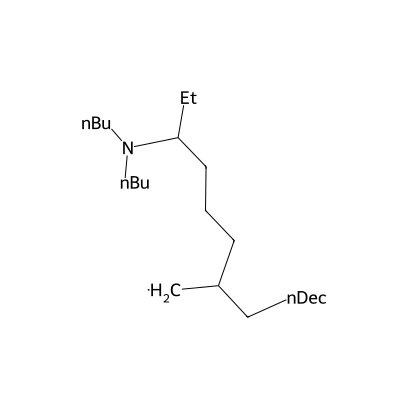 [CH2]C(CCCCCCCCCCC)CCCC(CC)N(CCCC)CCCC